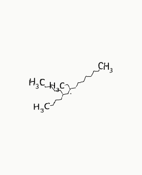 CCCCCCCCC([CH]C(CCCC)CCCCC)CC